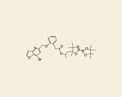 CC(CC1(C)OB(B2OC(C)(C)C(C)(C)O2)OC1(C)C)OC(=O)Cc1ccccc1OCc1cc(Br)c2occc2n1